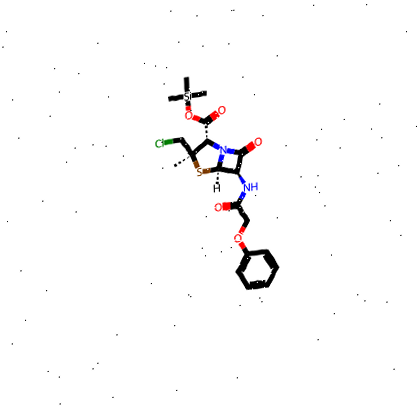 C[C@@]1(CCl)S[C@@H]2[C@H](NC(=O)COc3ccccc3)C(=O)N2[C@H]1C(=O)O[Si](C)(C)C